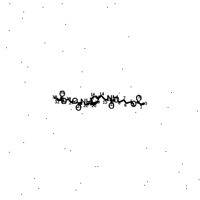 C=CC(=O)OCCCCOC(=O)NCCC1CC2CC1CC2CNC(=O)OCCOC(=O)C=C